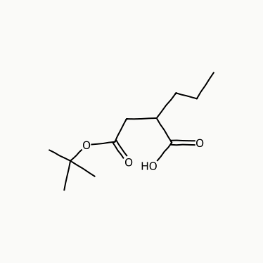 CCCC(CC(=O)OC(C)(C)C)C(=O)O